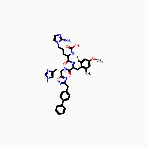 COc1cc(C)c(CC(NC(=O)C(CCCn2ccnc2N)NC(=O)O)C(=O)N[C@@H](Cc2c[nH]cn2)c2nc(Cc3ccc(-c4ccccc4)cc3)no2)c(C)c1